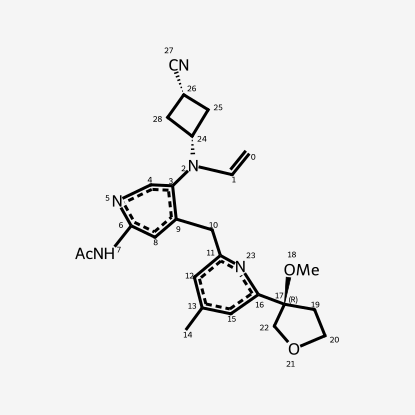 C=CN(c1cnc(NC(C)=O)cc1Cc1cc(C)cc([C@]2(OC)CCOC2)n1)[C@H]1C[C@@H](C#N)C1